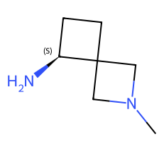 CN1CC2(CC[C@@H]2N)C1